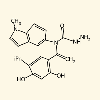 C=C(c1cc(C(C)C)c(O)cc1O)N(C(=O)NN)c1ccc2c(ccn2C)c1